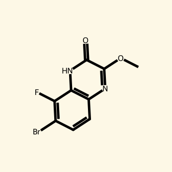 COc1nc2ccc(Br)c(F)c2[nH]c1=O